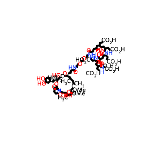 CO[C@H]1C[C@@H](C)C/C(C)=C/[C@@H](C/C=C/C(=O)NCCOCCOCCNC(=O)CCC(=O)CC(CCC(=O)O)C(=O)CC(CCC(=O)O)C(=O)NC(CCC(=O)O)C(=O)CC(CCC(=O)O)C(=O)NC(CCC(=O)O)C(=O)CC(CCC(=O)O)C(=O)NCC(=O)O)C(=O)C[C@H](O)[C@@H](C)[C@@H](/C(C)=C/[C@@H]2CC[C@@H](O)[C@H](O)C2)OC(=O)[C@@H]2CCCCN2C(=O)C(=O)[C@]2(O)O[C@H]1[C@@H](OC)C[C@H]2C